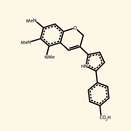 CNc1cc2c(c(NC)c1NC)C=C(c1ccc(-c3ccc(C(=O)O)cc3)[nH]1)CO2